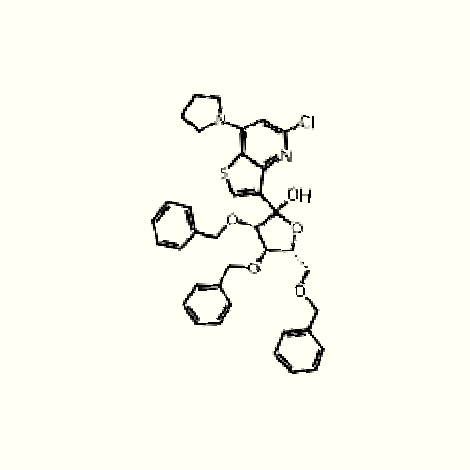 O[C@@]1(c2csc3c(N4CCCC4)cc(Cl)nc23)O[C@H](COCc2ccccc2)[C@@H](OCc2ccccc2)[C@H]1OCc1ccccc1